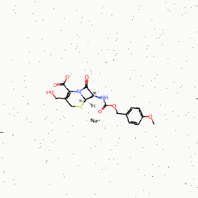 COc1ccc(COC(=O)N[C@@H]2C(=O)N3C(C(=O)[O-])=C(CO)CS[C@H]23)cc1.[Na+]